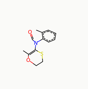 CC1=C(N(C=O)c2ccccc2C)SCCO1